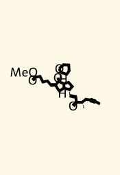 CC#CC[C@H](C)C(=O)/C=C/[C@H]1CC[C@@H]2C(OC3CCCCO3)C(=CCCCC(=O)OC)C[C@H]21